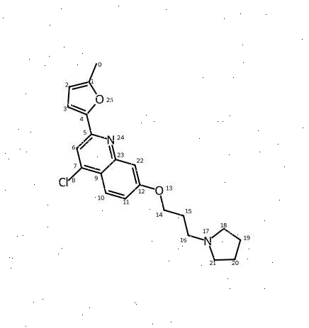 Cc1ccc(-c2cc(Cl)c3ccc(OCCCN4CCCC4)cc3n2)o1